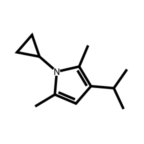 Cc1cc(C(C)C)c(C)n1C1CC1